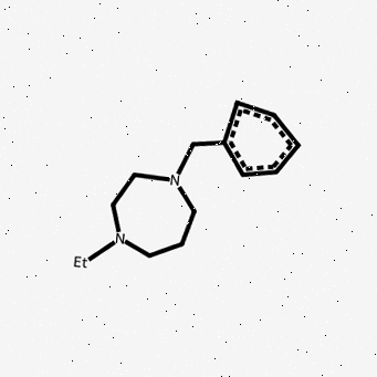 CCN1CCCN(Cc2ccccc2)CC1